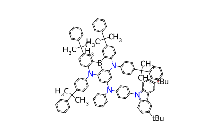 CC(C)(C)c1ccc2c(c1)c1cc(C(C)(C)C)ccc1n2-c1ccc(N(c2ccccc2)c2cc3c4c(c2)N(c2ccc(C(C)(C)c5ccccc5)cc2)c2ccc(C(C)(C)c5ccccc5)cc2B4c2cc(C(C)(C)c4ccccc4)ccc2N3c2ccc(C(C)(C)c3ccccc3)cc2)cc1